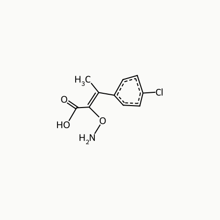 CC(=C(ON)C(=O)O)c1ccc(Cl)cc1